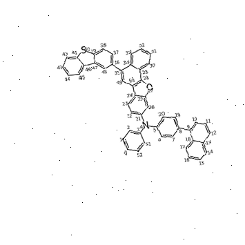 c1ccc(N(c2ccc(-c3cccc4ccccc34)cc2)c2ccc3c(c2)oc2c4ccccc4c(-c4ccc5sc6ccccc6c5c4)cc32)cc1